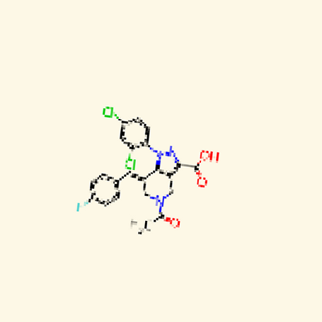 CC(=O)N1CC(=Cc2ccc(F)cc2)c2c(c(C(=O)O)nn2-c2ccc(Cl)cc2Cl)C1